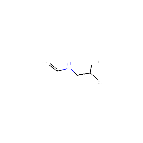 C=CNCC(CC)CCCC